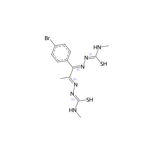 CN/C(S)=N/N=C(C)/C(=N/N=C(\S)NC)c1ccc(Br)cc1